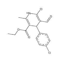 CCOC(=O)C1=C(C)NC(Cl)=C(C=O)C1c1ccc(Cl)cc1